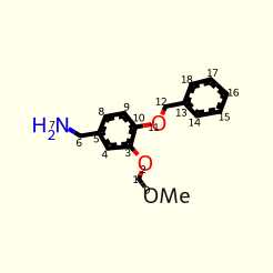 COCOc1cc(CN)ccc1OCc1ccccc1